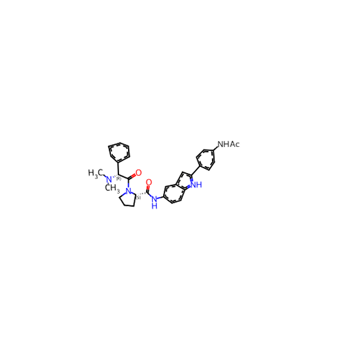 CC(=O)Nc1ccc(-c2cc3cc(NC(=O)[C@@H]4CCCN4C(=O)[C@@H](c4ccccc4)N(C)C)ccc3[nH]2)cc1